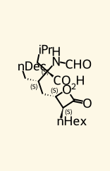 CCCCCCCCCCC[C@@H](C[C@@H]1OC(=O)[C@H]1CCCCCC)[C@](CC(C)C)(NC=O)C(=O)O